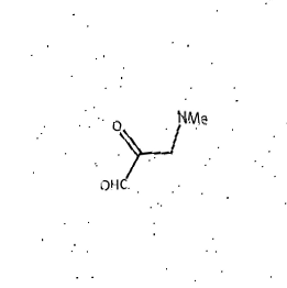 CNCC(=O)C=O